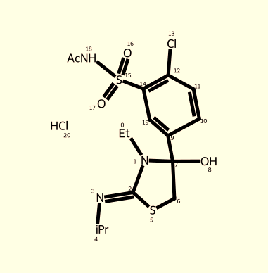 CCN1C(=NC(C)C)SCC1(O)c1ccc(Cl)c(S(=O)(=O)NC(C)=O)c1.Cl